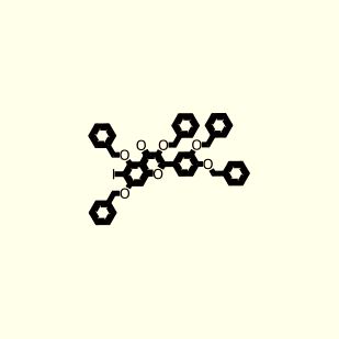 O=c1c(OCc2ccccc2)c(-c2ccc(OCc3ccccc3)c(OCc3ccccc3)c2)oc2cc(OCc3ccccc3)c(I)c(OCc3ccccc3)c12